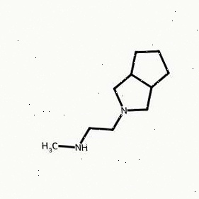 CNCCN1CC2CCCC2C1